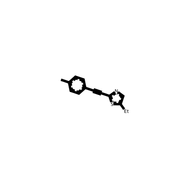 CCc1cnc(C#Cc2ccc(C)cc2)s1